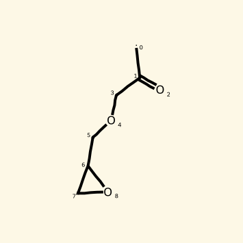 [CH2]C(=O)COCC1CO1